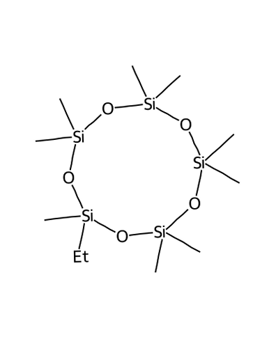 CC[Si]1(C)O[Si](C)(C)O[Si](C)(C)O[Si](C)(C)O[Si](C)(C)O1